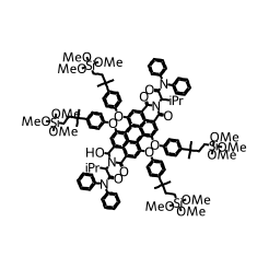 CO[Si](CCC(C)(C)c1ccc(Oc2cc3c4c(cc(Oc5ccc(C(C)(C)CC[Si](OC)(OC)OC)cc5)c5c6c(Oc7ccc(C(C)(C)CC[Si](OC)(OC)OC)cc7)cc7c8c(cc(Oc9ccc(C(C)(C)CC[Si](OC)(OC)OC)cc9)c(c2c45)c86)C(=O)N(C(C(=O)N(c2ccccc2)c2ccccc2)C(C)C)C7O)C(=O)N(C(C(=O)N(c2ccccc2)c2ccccc2)C(C)C)C3=O)cc1)(OC)OC